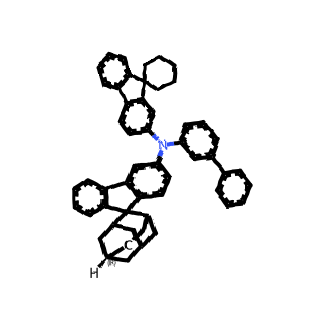 c1ccc(-c2cccc(N(c3ccc4c(c3)-c3ccccc3C43C4CC[C@@H]5CC(C4)CC3C5)c3ccc4c(c3)C3(CCCCC3)c3ccccc3-4)c2)cc1